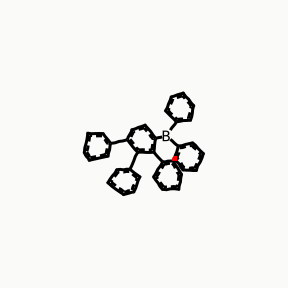 c1ccc(B(c2ccccc2)c2ccc(-c3ccccc3)c(-c3ccccc3)c2-c2ccccc2)cc1